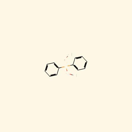 CO[PH](OC)(c1ccccc1)c1ccccc1